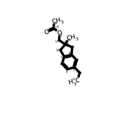 CCc1ccc2c(c1)CC(C)(COC(C)=O)C2